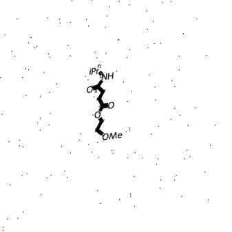 COCCOC(=O)CCC(=O)NC(C)C